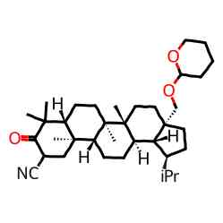 CC(C)[C@@H]1CC[C@]2(COC3CCCCO3)CC[C@]3(C)[C@H](CC[C@@H]4[C@@]5(C)CC(C#N)C(=O)C(C)(C)[C@@H]5CC[C@]43C)[C@@H]12